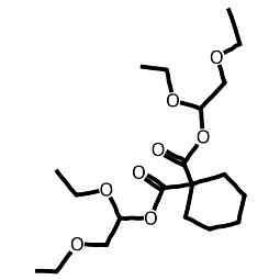 CCOCC(OCC)OC(=O)C1(C(=O)OC(COCC)OCC)CCCCC1